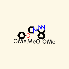 COc1cc2cnnc(N3CCCC(Oc4ccccc4OC)C3)c2cc1OC